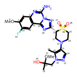 COc1cc2nc(N)n3nc([C@H]4CN(c5cnn(CC(C)(O)OC)c5C)CCS4(=O)=O)nc3c2cc1F